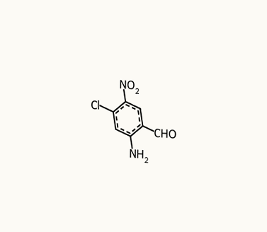 Nc1cc(Cl)c([N+](=O)[O-])cc1C=O